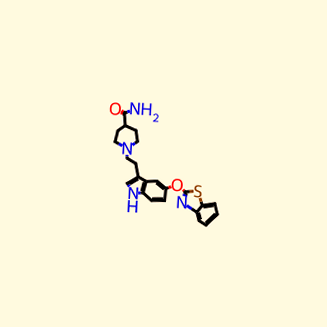 NC(=O)C1CCN(CCc2c[nH]c3ccc(Oc4nc5ccccc5s4)cc23)CC1